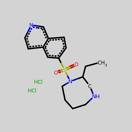 CCC1CNCCCCN1S(=O)(=O)c1ccc2cnccc2c1.Cl.Cl